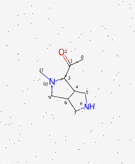 CC(=O)C1C2CNCC2CN1C